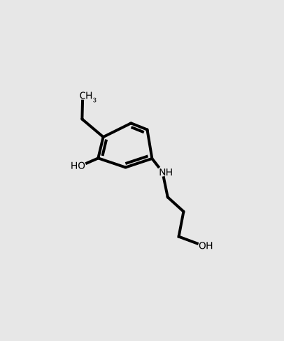 CCc1ccc(NCCCO)cc1O